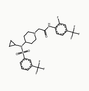 O=C(CN1CCC(N(C2CC2)S(=O)(=O)c2cccc(C(F)(F)F)c2)CC1)Nc1ccc(C(F)(F)F)cc1F